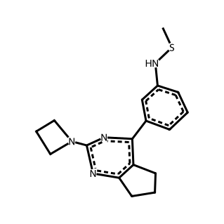 CSNc1cccc(-c2nc(N3CCC3)nc3c2CCC3)c1